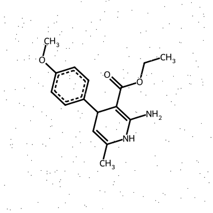 CCOC(=O)C1=C(N)NC(C)=CC1c1ccc(OC)cc1